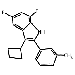 Cc1cccc(-c2[nH]c3c(F)cc(F)cc3c2C2CCC2)c1